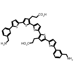 NCc1cccc(-c2ccc(-c3cc(CCC(=O)O)c(-c4ccc(-c5sc(-c6ccc(-c7cccc(CN)c7)s6)cc5CCC(=O)O)s4)s3)s2)c1